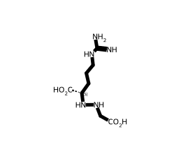 N=C(N)NCCC[C@H](NNCC(=O)O)C(=O)O